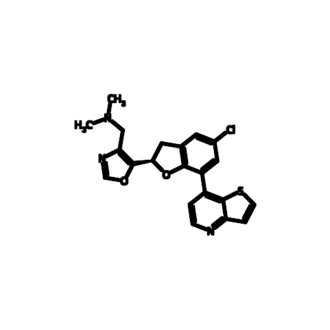 CN(C)Cc1ncoc1[C@H]1Cc2cc(Cl)cc(-c3ccnc4ccsc34)c2O1